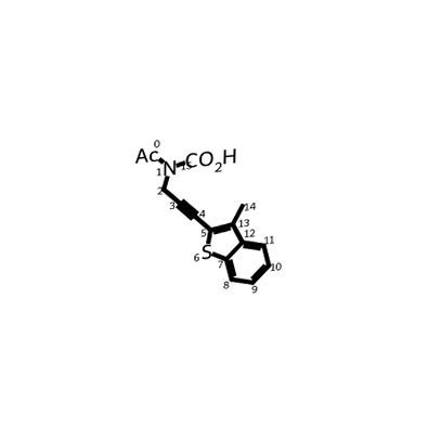 CC(=O)N(CC#Cc1sc2ccccc2c1C)C(=O)O